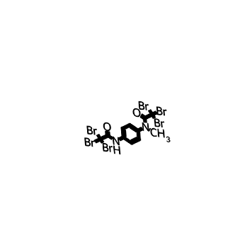 CN(C(=O)C(Br)(Br)Br)c1ccc(NC(=O)C(Br)(Br)Br)cc1